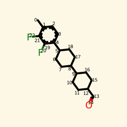 Cc1ccc(C2CCC(C3CCC(C=O)CC3)CC2)c(F)c1F